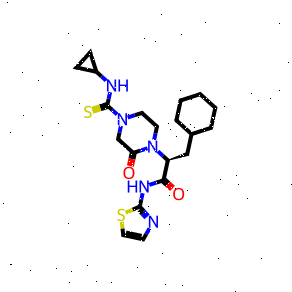 O=C(Nc1nccs1)[C@H](CC1CCCCC1)N1CCN(C(=S)NC2CC2)CC1=O